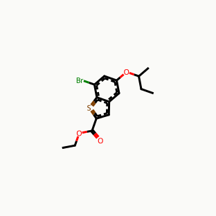 CCOC(=O)c1cc2cc(OC(C)CC)cc(Br)c2s1